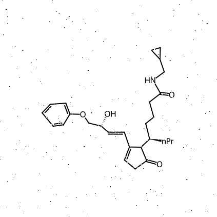 CCC[C@H](CCCC(=O)NCC1CC1)C1C(=O)CC=C1/C=C/[C@@H](O)COc1ccccc1